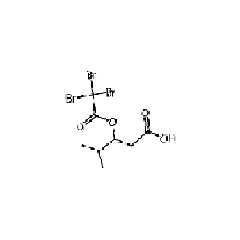 CC(C)C(CC(=O)O)OC(=O)C(Br)(Br)Br